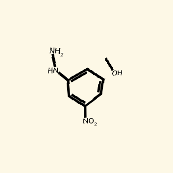 CO.NNc1cccc([N+](=O)[O-])c1